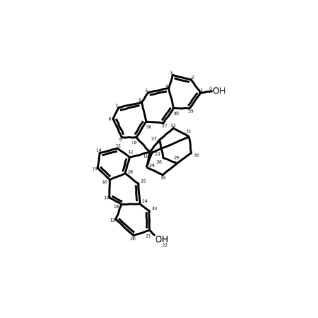 Oc1ccc2cc3cccc(C4(c5cccc6cc7ccc(O)cc7cc56)C5CC6CC(C5)CC4C6)c3cc2c1